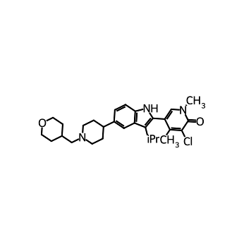 Cc1c(-c2[nH]c3ccc(C4CCN(CC5CCOCC5)CC4)cc3c2C(C)C)cn(C)c(=O)c1Cl